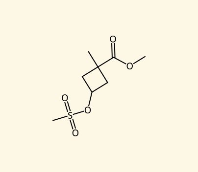 COC(=O)C1(C)CC(OS(C)(=O)=O)C1